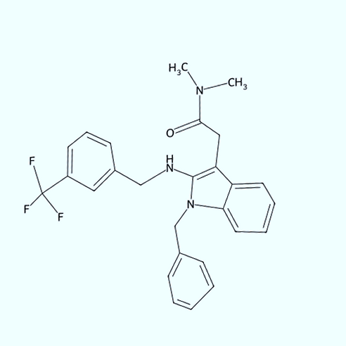 CN(C)C(=O)Cc1c(NCc2cccc(C(F)(F)F)c2)n(Cc2ccccc2)c2ccccc12